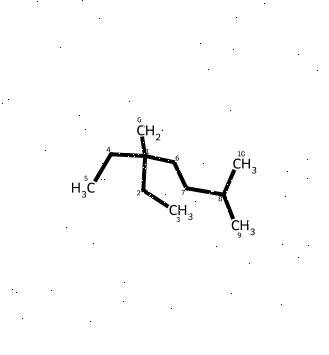 [CH2]C(CC)(CC)CCC(C)C